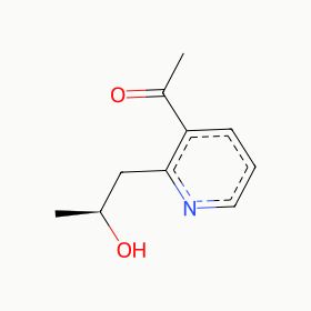 CC(=O)c1cccnc1C[C@H](C)O